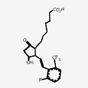 O=C(O)CCCCCCC1C(=O)CC(O)C1C=Cc1c(F)cccc1C(F)(F)F